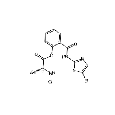 CC(C)(C)[C@H](NCl)C(=O)Oc1ccccc1C(=O)Nc1ncc(Cl)s1